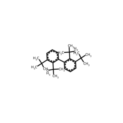 CC(C)(C)c1cccc(-c2cccc(C(C)(C)C)c2C(C)(C)C)c1C(C)(C)C